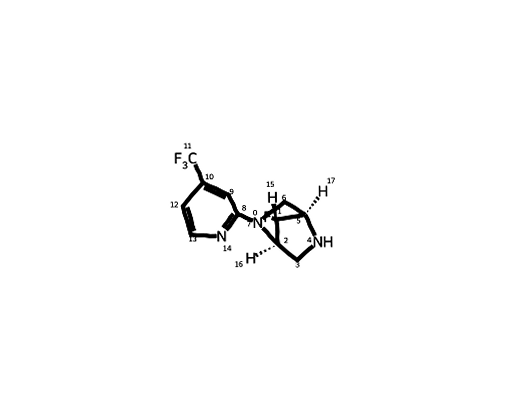 F[C@H]1[C@H]2CN[C@@H]1CN2c1cc(C(F)(F)F)ccn1